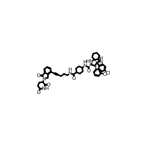 O=C1CCC(N2Cc3c(C#CCCCNC(=O)C4CCC(NC(=O)[C@@H]5NC6(CCCCC6)[C@@]6(C(=O)Nc7cc(Cl)ccc76)[C@H]5c5cccc(Cl)c5)CC4)cccc3C2=O)C(=O)N1